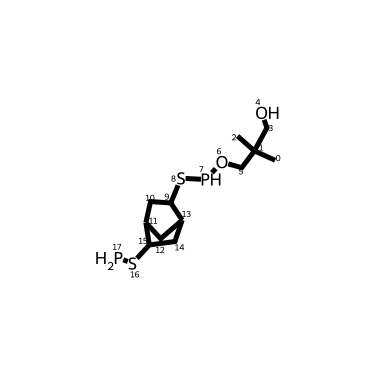 CC(C)(CO)COPSC1CC2CC1CC2SP